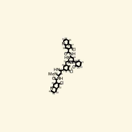 CN/C(=C\C(=N)c1cc(Cl)cc(CC(C)N/C(=C\C(=N)c2ccccc2C(F)(F)F)NC(=O)c2cc3ncccc3cc2Cl)c1)NC(=O)c1cc2ncccc2cc1Cl